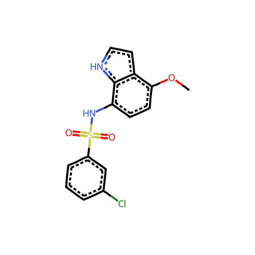 COc1ccc(NS(=O)(=O)c2cccc(Cl)c2)c2[nH]ccc12